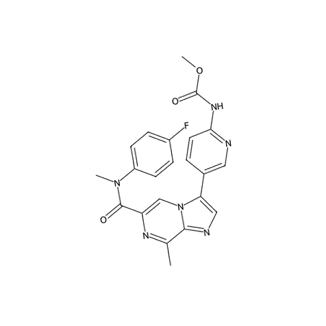 COC(=O)Nc1ccc(-c2cnc3c(C)nc(C(=O)N(C)c4ccc(F)cc4)cn23)cn1